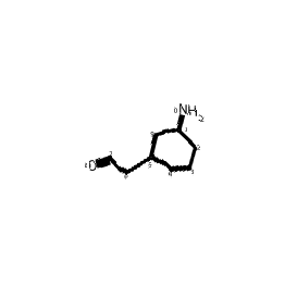 NC1CCCC(C[C]=O)C1